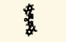 CC(C)c1ccccc1-n1cc(C(=O)c2cn(-c3ccccc3C(C)C)nn2)nn1